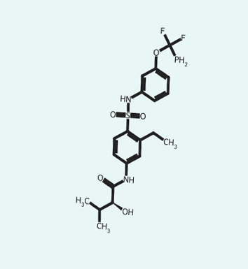 CCc1cc(NC(=O)[C@@H](O)C(C)C)ccc1S(=O)(=O)Nc1cccc(OC(F)(F)P)c1